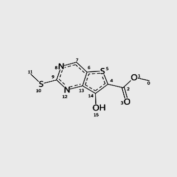 COC(=O)c1sc2cnc(SC)nc2c1O